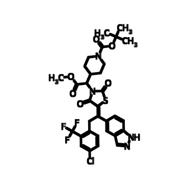 COC(=O)C(C1CCN(C(=O)OC(C)(C)C)CC1)N1C(=O)S/C(=C(/Cc2ccc(Cl)cc2C(F)(F)F)c2ccc3[nH]ncc3c2)C1=O